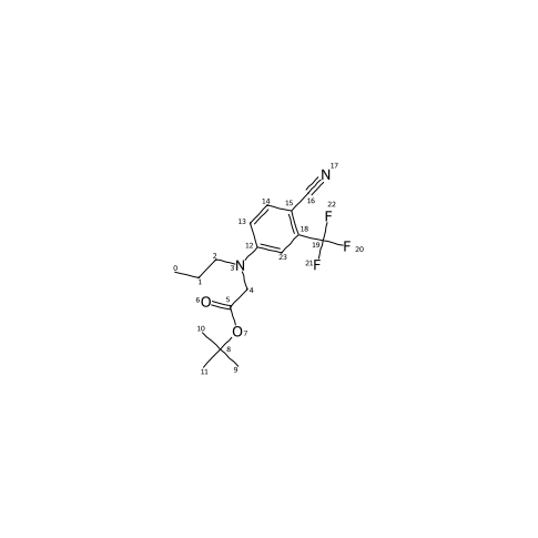 CCCN(CC(=O)OC(C)(C)C)c1ccc(C#N)c(C(F)(F)F)c1